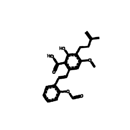 C=C(C)CCc1c(OC)cc(C=Cc2ccccc2OC=O)c(C(=O)O)c1O